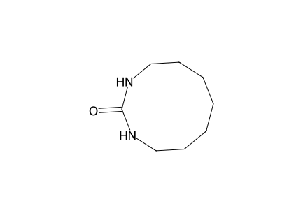 O=C1NCCCCCCCN1